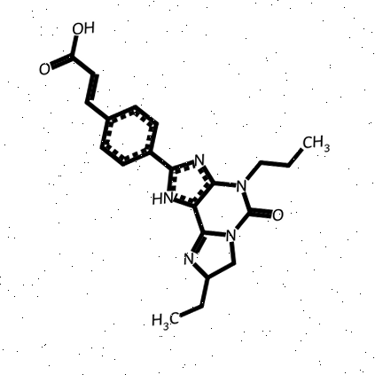 CCCN1C(=O)N2CC(CC)N=C2c2[nH]c(-c3ccc(/C=C/C(=O)O)cc3)nc21